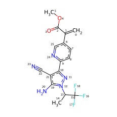 C=C(C(=O)OC)c1ccc(-c2nn(C(C)C(F)(F)F)c(N)c2C#N)nc1